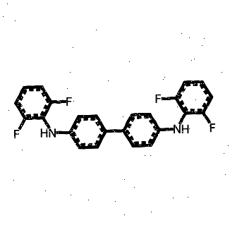 Fc1cccc(F)c1Nc1ccc(-c2ccc(Nc3c(F)cccc3F)cc2)cc1